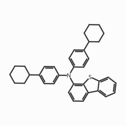 c1ccc2c(c1)sc1c(N(c3ccc(C4CCCCC4)cc3)c3ccc(C4CCCCC4)cc3)cccc12